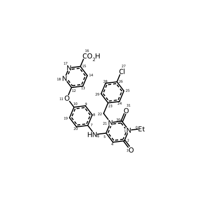 CCn1c(=O)cc(Nc2ccc(Oc3ccc(C(=O)O)nn3)cc2)n(Cc2ccc(Cl)cc2)c1=O